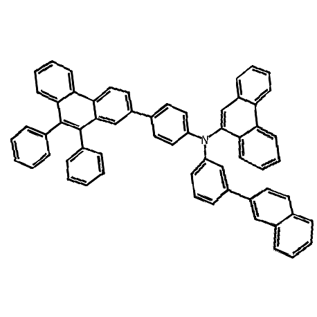 c1ccc(-c2c(-c3ccccc3)c3cc(-c4ccc(N(c5cccc(-c6ccc7ccccc7c6)c5)c5cc6ccccc6c6ccccc56)cc4)ccc3c3ccccc23)cc1